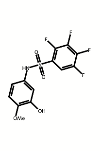 COc1ccc(NS(=O)(=O)c2cc(F)c(F)c(F)c2F)cc1O